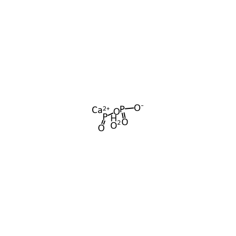 O.O=P[O-].O=P[O-].[Ca+2]